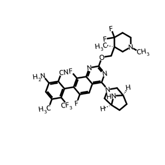 Cc1cc(N)c(C#N)c(-c2c(F)cc3c(N4C[C@H]5CC[C@@H](C4)N5)nc(OC[C@]4(C)CN(C)CCC4(F)F)nc3c2F)c1C(F)(F)F